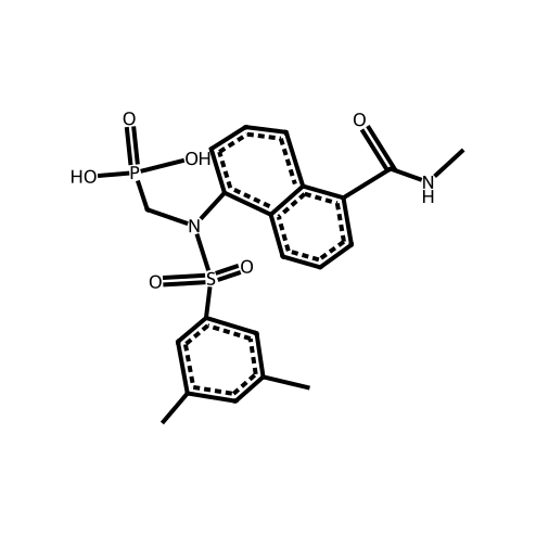 CNC(=O)c1cccc2c(N(CP(=O)(O)O)S(=O)(=O)c3cc(C)cc(C)c3)cccc12